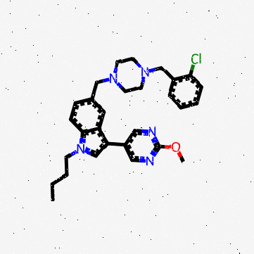 CCCCn1cc(-c2cnc(OC)nc2)c2cc(CN3CCN(Cc4ccccc4Cl)CC3)ccc21